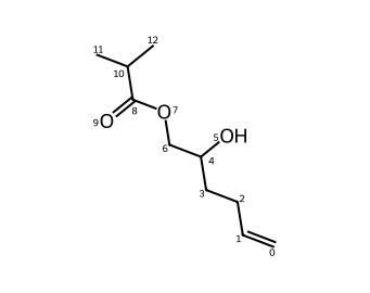 C=CCCC(O)COC(=O)C(C)C